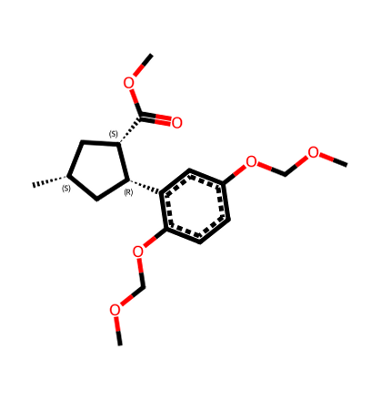 COCOc1ccc(OCOC)c([C@@H]2C[C@H](C)C[C@@H]2C(=O)OC)c1